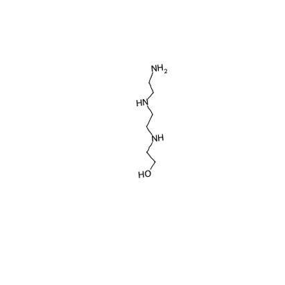 NCCNCCNCCO